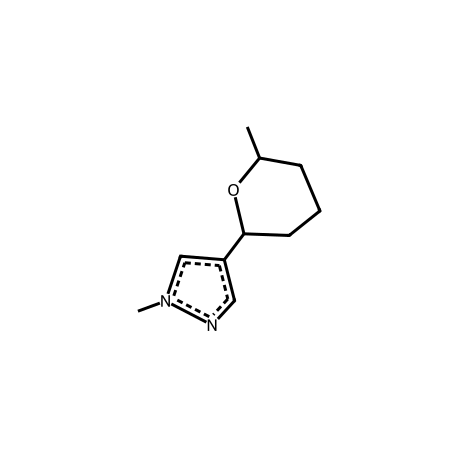 CC1CCCC(c2cnn(C)c2)O1